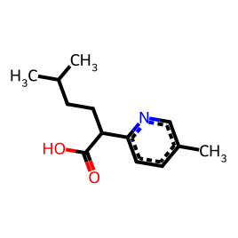 Cc1ccc(C(CCC(C)C)C(=O)O)nc1